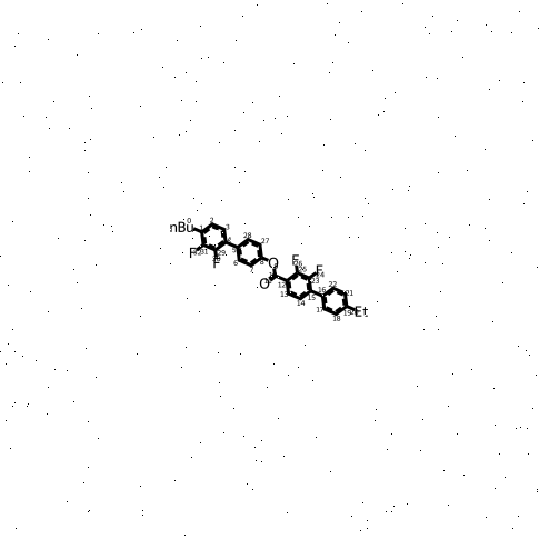 CCCCc1ccc(-c2ccc(OC(=O)c3ccc(-c4ccc(CC)cc4)c(F)c3F)cc2)c(F)c1F